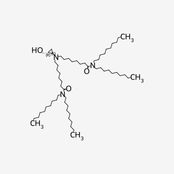 CCCCCCCCCCN(CCCCCCCCCC)C(=O)CCCCCCCN(CCCCCCCC(=O)N(CCCCCCCCCC)CCCCCCCCCC)[C@H]1C[C@H]1CO